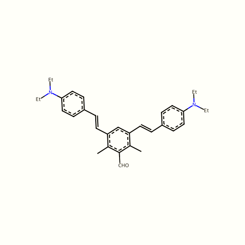 CCN(CC)c1ccc(C=Cc2cc(C=Cc3ccc(N(CC)CC)cc3)c(C)c(C=O)c2C)cc1